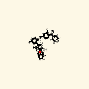 Cc1ccc(OCc2ccc(C(=O)N3CCOCC3)c(C)c2)c(C2=CSC(N3CC4CCC(C3)C4C(=O)O)N2)c1